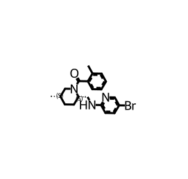 Cc1ccccc1C(=O)N1C[C@@H](C)CC[C@H]1CNc1ccc(Br)cn1